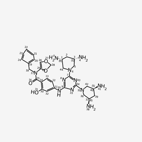 N[C@@H]1C[C@H](N)CN(c2nc(Nc3ccc(C(=O)N(Cc4ccccc4)C4=COCO4)c(O)c3)nc(N3C[C@H](N)C[C@H](N)C3)n2)C1